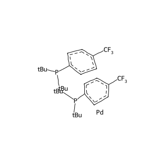 CC(C)(C)P(c1ccc(C(F)(F)F)cc1)C(C)(C)C.CC(C)(C)P(c1ccc(C(F)(F)F)cc1)C(C)(C)C.[Pd]